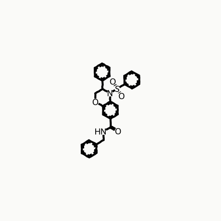 O=C(NCc1ccccc1)c1ccc2c(c1)OCC(c1ccccc1)N2S(=O)(=O)c1ccccc1